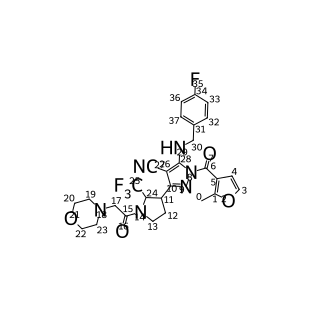 Cc1occc1C(=O)n1nc(C2CCN(C(=O)CN3CCOCC3)C2C(F)(F)F)c(C#N)c1NCc1ccc(F)cc1